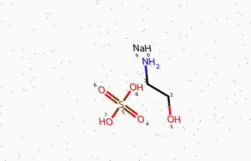 NCCO.O=S(=O)(O)O.[NaH]